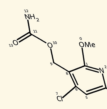 COc1nc(C)cc(Cl)c1COC(N)=O